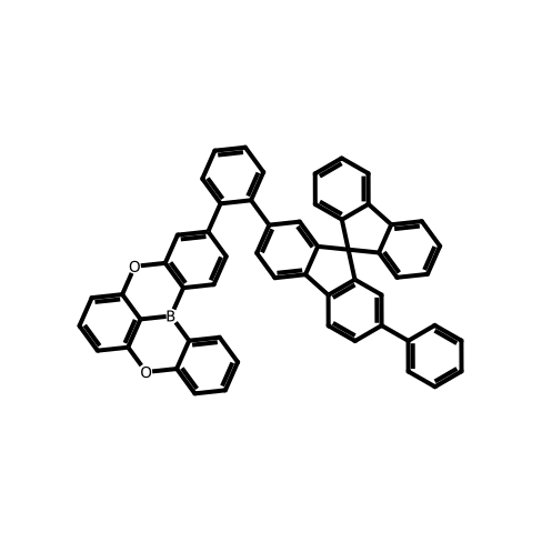 c1ccc(-c2ccc3c(c2)C2(c4ccccc4-c4ccccc42)c2cc(-c4ccccc4-c4ccc5c(c4)Oc4cccc6c4B5c4ccccc4O6)ccc2-3)cc1